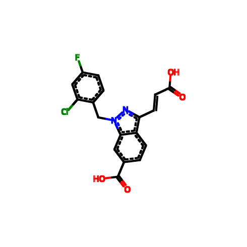 O=C(O)/C=C/c1nn(Cc2ccc(F)cc2Cl)c2cc(C(=O)O)ccc12